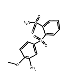 COc1ccc(S(=O)(=O)c2ccccc2S(N)(=O)=O)cc1N